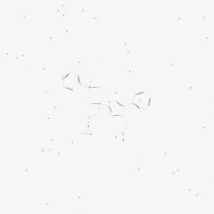 O=C(O)C1(c2ccccc2)CCC(OCC2CC2)(c2cc(-c3ccccc3)n(CC3CC3)n2)CC1